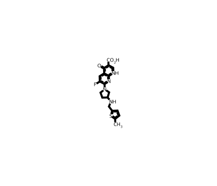 Cc1ccc(CNC2CCN(c3nc4[nH]cc(C(=O)O)c(=O)c4cc3F)C2)s1